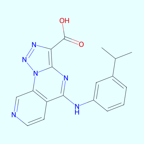 CC(C)c1cccc(Nc2nc3c(C(=O)O)nnn3c3cnccc23)c1